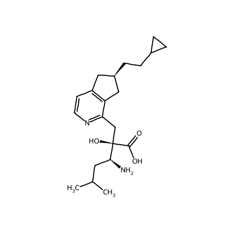 CC(C)C[C@H](N)[C@](O)(Cc1nccc2c1C[C@H](CCC1CC1)C2)C(=O)O